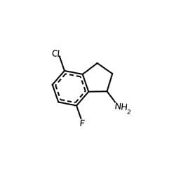 NC1CCc2c(Cl)ccc(F)c21